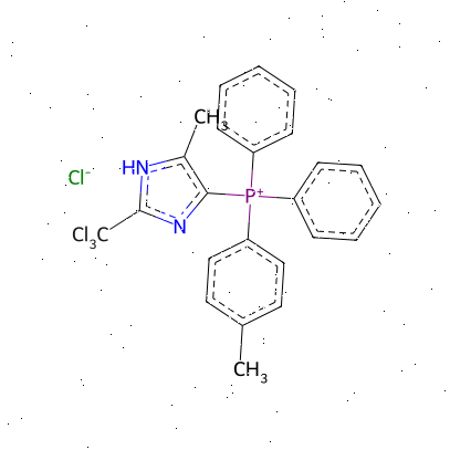 Cc1ccc([P+](c2ccccc2)(c2ccccc2)c2nc(C(Cl)(Cl)Cl)[nH]c2C)cc1.[Cl-]